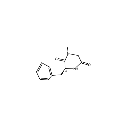 CN1CC(=O)N[C@@H](Cc2ccccc2)C1=O